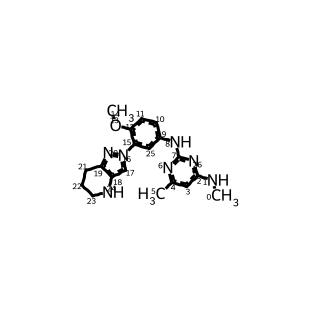 CNc1cc(C)nc(Nc2ccc(OC)c(-n3cc4c(n3)CCCN4)c2)n1